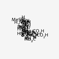 CSCC[C@H](NC(=O)[C@H](CC(C)C)NC(=O)[C@H](Cc1c[nH]cn1)NC(=O)CNC(=O)[C@@H](NC(=O)[C@H](C)NC(=O)[C@H](Cc1c[nH]c2ccccc12)NC(=O)[C@H](CCC(N)=O)NC(=O)CN(NC(=O)CN1CCN(CC(=O)O)CCN(CC(=O)O)CCN(CC(=O)O)CC1)C(=O)c1ccc(N)cc1)C(C)C)C(N)=O